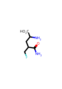 NC(=O)C(CF)CC(N)C(=O)O